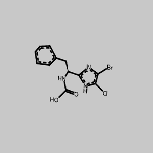 O=C(O)N[C@@H](Cc1ccccc1)c1nc(Br)c(Cl)[nH]1